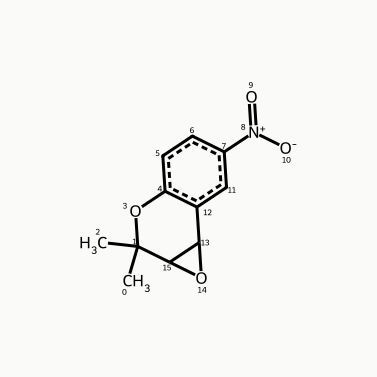 CC1(C)Oc2ccc([N+](=O)[O-])cc2C2OC21